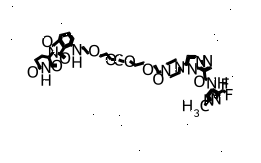 Cn1cc(NC(=O)c2cnn3ccc(N4CCN(C(=O)COCCOCCOCCOCCNc5cccc6c5C(=O)N(C5CCC(=O)NC5=O)C6=O)CC4)nc23)c(C(F)F)n1